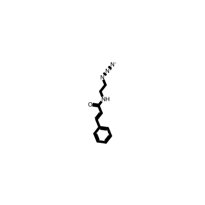 [N-]=[N+]=NCCNC(=O)/C=C/c1ccccc1